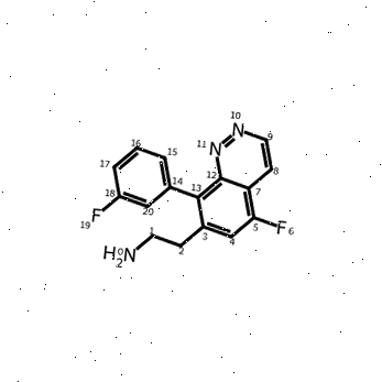 NCCc1cc(F)c2ccnnc2c1-c1cccc(F)c1